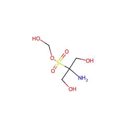 NC(CO)(CO)S(=O)(=O)OCO